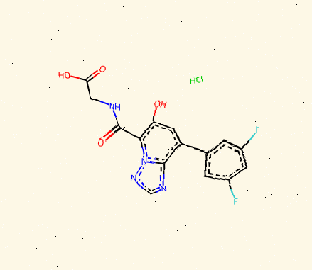 Cl.O=C(O)CNC(=O)c1c(O)cc(-c2cc(F)cc(F)c2)c2ncnn12